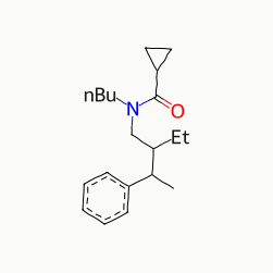 CCCCN(CC(CC)C(C)c1ccccc1)C(=O)C1CC1